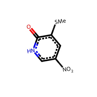 CSc1cc([N+](=O)[O-])c[nH]c1=O